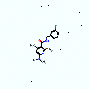 CCSc1nc(N(C)C(C)=O)cc(C)c1C(=O)NCc1cccc(F)c1